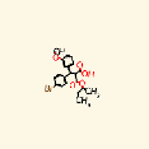 CCC(C)OC(=O)C(C(=O)O)C(c1ccc(Br)cc1)c1cccc(OC)c1